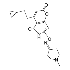 CN1CCC(=NOc2nc3oc(=O)cc(CCC4CC4)c3c(=O)[nH]2)CC1